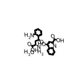 Nc1ccccc1C(=O)C[C@H](N)C(=O)O.O.O=C(O)c1cc(O)c2ccccc2n1